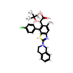 Cc1cc2nc(N3CCc4ccccc4C3)sc2c(-c2ccc(Cl)cc2)c1[C@H](OC(C)(C)C)C(=O)O